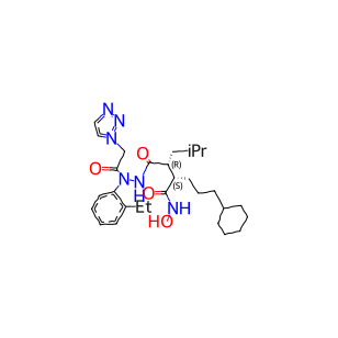 CCc1ccccc1N(NC(=O)[C@H](CC(C)C)[C@H](CCCC1CCCCC1)C(=O)NO)C(=O)Cn1ccnn1